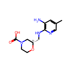 Cc1cnc(NC[C@H]2CN(C(=O)O)CCO2)c(N)c1